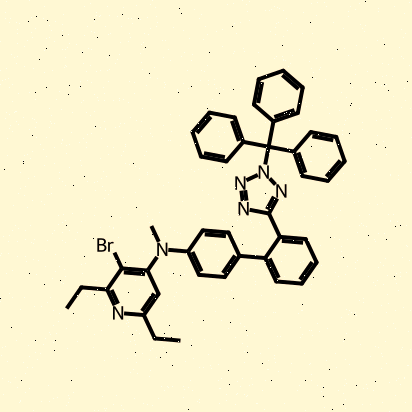 CCc1cc(N(C)c2ccc(-c3ccccc3-c3nnn(C(c4ccccc4)(c4ccccc4)c4ccccc4)n3)cc2)c(Br)c(CC)n1